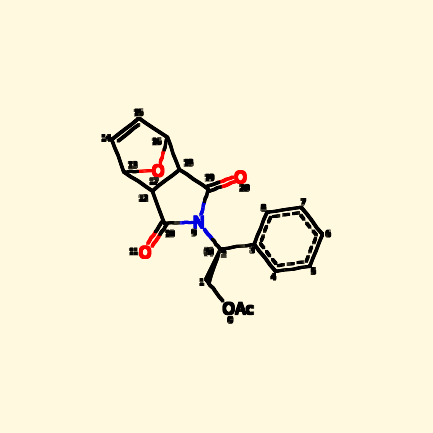 CC(=O)OC[C@H](c1ccccc1)N1C(=O)C2C3C=CC(O3)C2C1=O